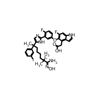 CC(C)(CCCCC(C)(c1cccc(I)c1)c1cnc(-c2cc(Oc3c(F)cc4[nH]ccc4c3CC(=O)O)ccc2F)[nH]1)/C(N)=N/O